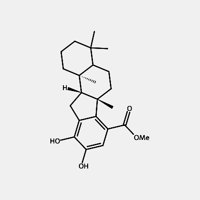 COC(=O)c1cc(O)c(O)c2c1[C@@]1(C)CCC3C(C)(C)CCC[C@]3(C)[C@H]1C2